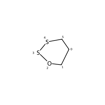 C1COSSC1